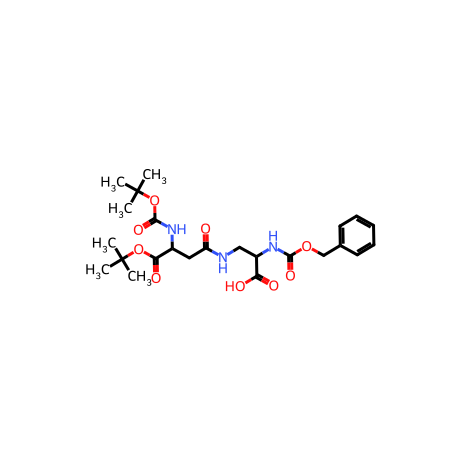 CC(C)(C)OC(=O)NC(CC(=O)NCC(NC(=O)OCc1ccccc1)C(=O)O)C(=O)OC(C)(C)C